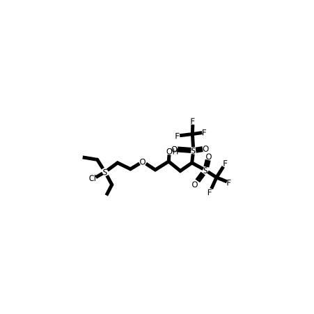 CCS(Cl)(CC)CCOCC(O)CC(S(=O)(=O)C(F)(F)F)S(=O)(=O)C(F)(F)F